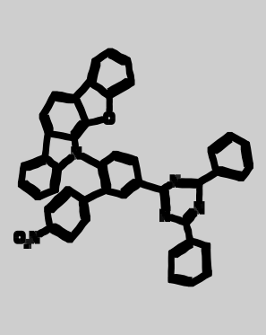 O=[N+]([O-])c1ccc(-c2cc(-c3nc(-c4ccccc4)nc(-c4ccccc4)n3)ccc2-n2c3ccccc3c3ccc4c5ccccc5oc4c32)cc1